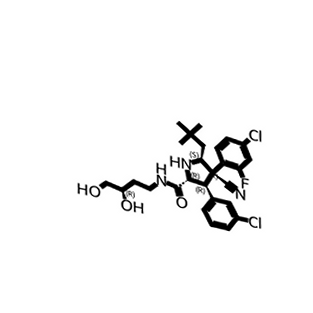 CC(C)(C)C[C@@H]1N[C@@H](C(=O)NCC[C@@H](O)CO)[C@H](c2cccc(Cl)c2)[C@@]1(C#N)c1ccc(Cl)cc1F